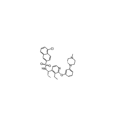 CCc1c(C(CC)NS(=O)(=O)c2ccc3c(Cl)cccc3c2)ccnc1Oc1cccc(N2CCN(C)CC2)c1